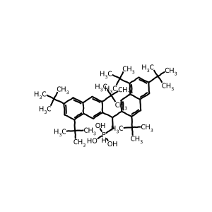 CC(C)(C)c1cc(C(C)(C)C)c2cc(C(C[PH](O)(O)O)c3cc4c(C(C)(C)C)cc(C(C)(C)C)cc4cc3C(C)(C)C)c(C(C)(C)C)cc2c1